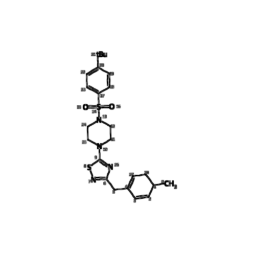 CC1C=CC(Cc2nsc(N3CCN(S(=O)(=O)c4ccc(C(C)(C)C)cc4)CC3)n2)=CC1